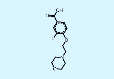 O=C(O)c1ccc(OCCN2CCOCC2)c(F)c1